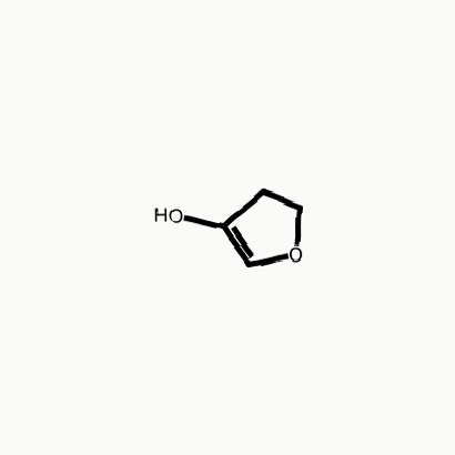 OC1=COCC1